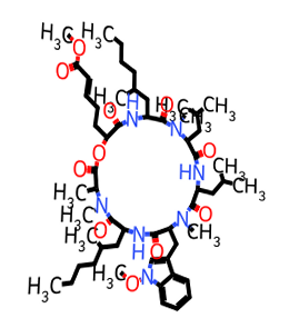 CCCCC(C)CC1NC(=O)C(Cc2cn(OC)c3ccccc23)N(C)C(=O)C(CC(C)C)NC(=O)C(CC(C)C)N(C)C(=O)C(CC(C)CCCC)NC(=O)C(CCC=CC(=O)OC)OC(=O)C(C)N(C)C1=O